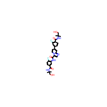 CC(C)(CO)NC(=O)c1ccc(F)c(NC(=O)c2cnc3cc(-c4ccc(C(=O)NC(C)(C)CO)c(F)c4)ccn23)c1